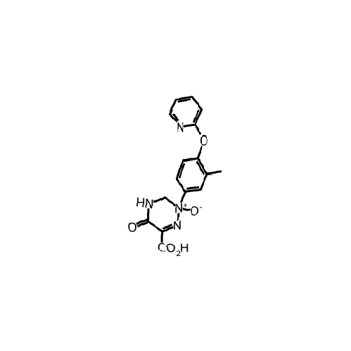 Cc1cc([N+]2([O-])CNC(=O)C(C(=O)O)=N2)ccc1Oc1ccccn1